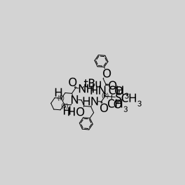 CC(C)(C)NC(=O)C1C[C@@H]2CCCC[C@@H]2CN1CC(O)C(Cc1ccccc1)NC(=O)[C@@H](NC(=O)COc1ccccc1)C(C)(C)S(C)(=O)=O